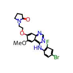 COc1cc2c(Nc3ccc(Br)cc3F)ncnc2cc1OCCN1CCCC1=O